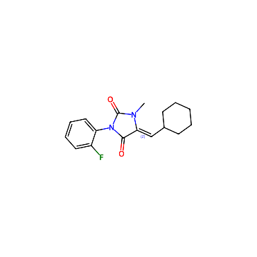 CN1C(=O)N(c2ccccc2F)C(=O)/C1=C/C1CCCCC1